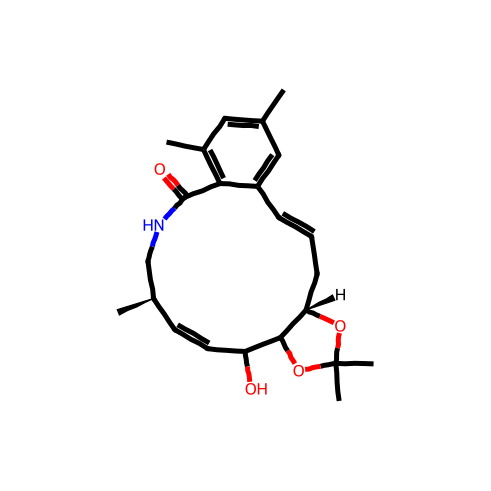 Cc1cc(C)c2c(c1)/C=C/C[C@@H]1OC(C)(C)OC1C(O)/C=C\[C@@H](C)CNC2=O